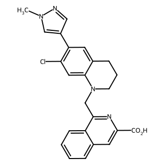 Cn1cc(-c2cc3c(cc2Cl)N(Cc2nc(C(=O)O)cc4ccccc24)CCC3)cn1